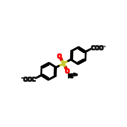 O=C([O-])c1ccc(S(=O)(=O)c2ccc(C(=O)[O-])cc2)cc1.[Ni+2]